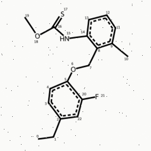 CCc1ccc(OCc2c(C)cccc2NC(=S)OC)c(F)c1